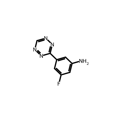 Nc1cc(F)cc(-c2nncnn2)c1